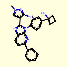 Cn1cc(-c2nc3ccc(-c4ccccc4)nc3n2-c2ccc(C3(N)CCC3)cc2)c(N)n1